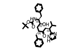 CC(C)[C@H](CC(=O)[C@H](Cc1ccccc1)C[C@H](O)[C@H](Cc1ccccc1)NC(=O)OC(C)(C)C)c1ncc[nH]1